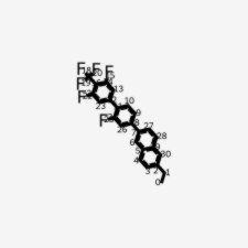 CCc1ccc2cc(-c3ccc(-c4cc(F)c(C(F)(F)F)c(F)c4)c(F)c3)ccc2c1